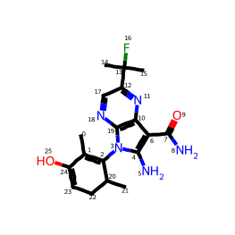 CC1=C(n2c(N)c(C(N)=O)c3nc(C(C)(C)F)cnc32)C(C)CC=C1O